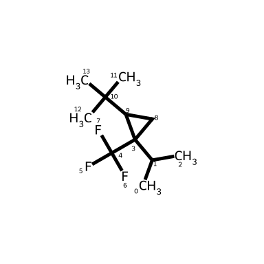 CC(C)C1(C(F)(F)F)CC1C(C)(C)C